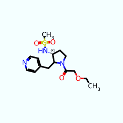 CCOCC(=O)N1CC[C@@H](NS(C)(=O)=O)C1Cc1ccncc1